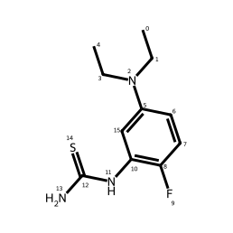 CCN(CC)c1ccc(F)c(NC(N)=S)c1